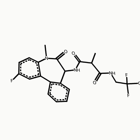 CC(C(=O)NCC(F)(F)C(F)(F)F)C(=O)NC1C(=O)N(C)c2ccc(F)cc2-c2ccccc21